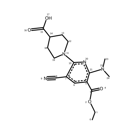 CCOC(=O)c1cc(C#N)c(N2CCC(C(=O)O)CC2)nc1N(C)C